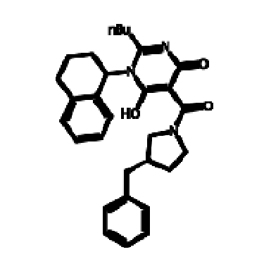 CCCCc1nc(=O)c(C(=O)N2CC[C@@H](Cc3ccccc3)C2)c(O)n1C1CCCc2ccccc21